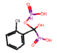 N#Cc1ccccc1C(O)(O[PH](=O)O)[PH](=O)O